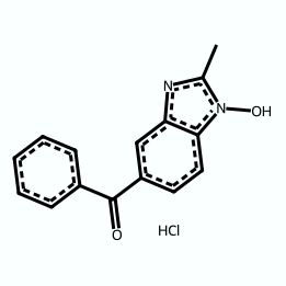 Cc1nc2cc(C(=O)c3ccccc3)ccc2n1O.Cl